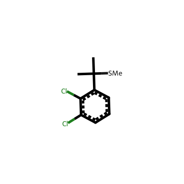 CSC(C)(C)c1cccc(Cl)c1Cl